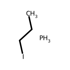 CCCI.P